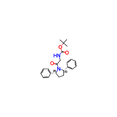 CC(C)(C)OC(=O)NCC(=O)N1[C@@H](c2ccccc2)CC[C@H]1c1ccccc1